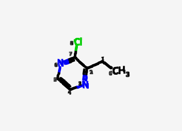 CCc1nccnc1Cl